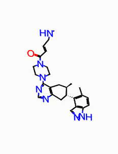 CNC/C=C/C(=O)N1CCN(c2ncnc3c2C[C@@H](C)[C@H](c2c(C)ccc4[nH]ncc24)C3)CC1